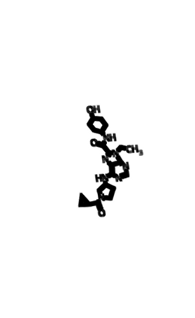 CCn1c(C(=O)NC2CCC(O)CC2)nc2c(NC3CCN(C(=O)C4CC4)C3)ncnc21